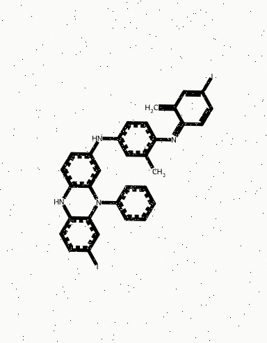 C=C1C=C(I)C=C/C1=N/c1ccc(Nc2ccc3c(c2)N(c2ccccc2)c2cc(I)ccc2N3)cc1C